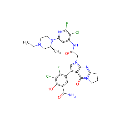 CCN1CCN(c2cc(NC(=O)Cn3cc(-c4cc(C(N)=O)c(O)c(Cl)c4F)c4c(=O)n5c(nc43)CCC5)c(Cl)c(F)n2)[C@@H](C)C1